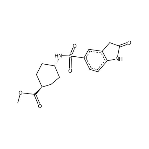 COC(=O)[C@H]1CC[C@H](NS(=O)(=O)c2ccc3c(c2)CC(=O)N3)CC1